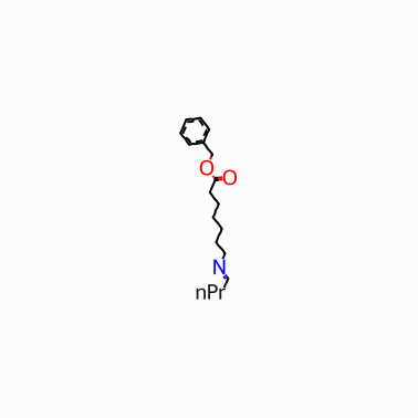 CCC/C=N/CCCCCCC(=O)OCc1ccccc1